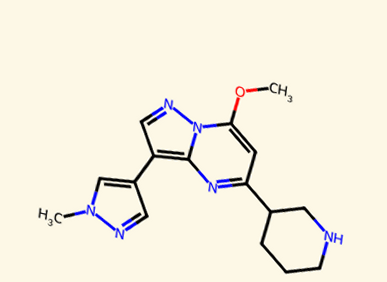 COc1cc(C2CCCNC2)nc2c(-c3cnn(C)c3)cnn12